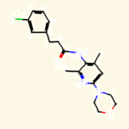 Cc1cc(N2CCOCC2)nc(C)c1NC(=O)CCc1cccc(Cl)c1